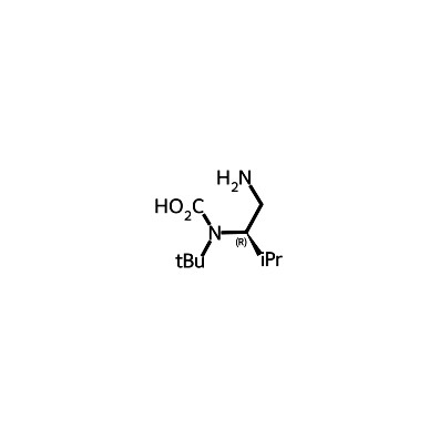 CC(C)[C@H](CN)N(C(=O)O)C(C)(C)C